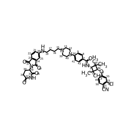 CC1(C)[C@H](NC(=O)c2ccc(N3CCN(CCCCNc4ccc5c(c4)C(=O)N(C4CCC(=O)NC4=O)C5=O)CC3)cc2)C(C)(C)[C@H]1Oc1ccc(C#N)c(Cl)c1